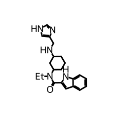 CCN(C(=O)c1cc2ccccc2[nH]1)C1CCCC(NCc2c[nH]cn2)C1